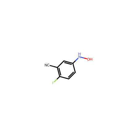 N#Cc1cc(NO)ccc1F